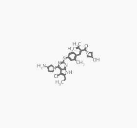 C=C(C)/C(=C\c1ccc(Sc2nc(N3CC[C@@H](N)C3)c3c(Cl)c(CC)[nH]c3n2)cc1C)C(=O)N1CC(O)C1